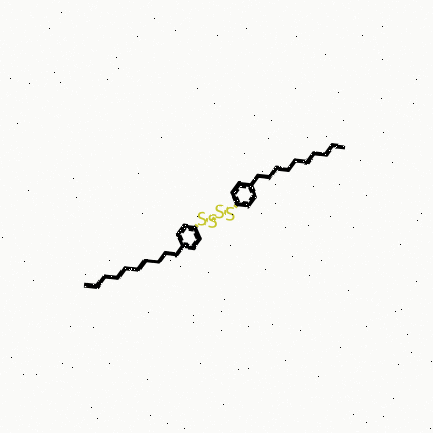 CCCCCCCCCCc1ccc(SSSSc2ccc(CCCCCCCCCC)cc2)cc1